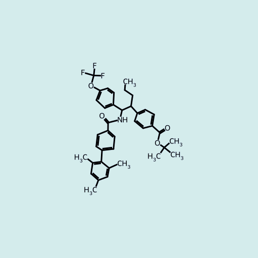 CCCC(c1ccc(C(=O)OC(C)(C)C)cc1)C(NC(=O)c1ccc(-c2c(C)cc(C)cc2C)cc1)c1ccc(OC(F)(F)F)cc1